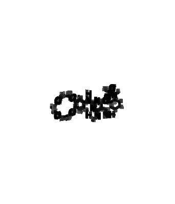 CN([C@@H]1CCCC[C@H]1Oc1nc(Nc2ccc3c(c2)OCCOCCOCCO3)nc(N)c1C=N)S(C)(=O)=O